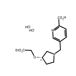 CCOC(=O)CO[C@H]1CCN(Cc2ccc(C(=O)O)nc2)C1.Cl.Cl